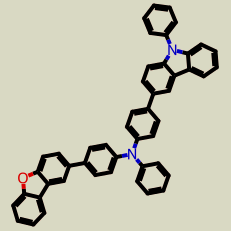 c1ccc(N(c2ccc(-c3ccc4oc5ccccc5c4c3)cc2)c2ccc(-c3ccc4c(c3)c3ccccc3n4-c3ccccc3)cc2)cc1